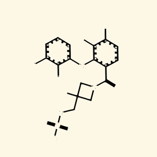 CS(=O)(=O)NCC1(O)CN(C(=O)c2ccc(F)c(F)c2Nc2cccc(I)c2F)C1